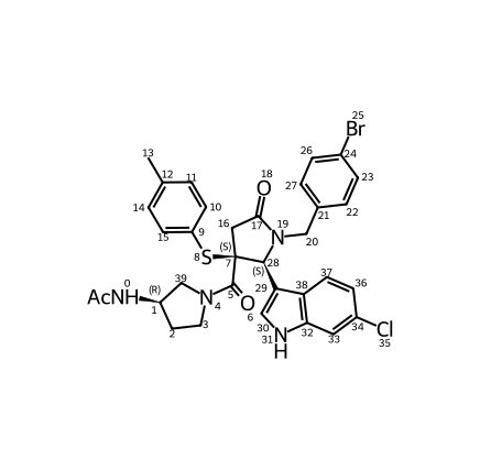 CC(=O)N[C@@H]1CCN(C(=O)[C@]2(Sc3ccc(C)cc3)CC(=O)N(Cc3ccc(Br)cc3)[C@H]2c2c[nH]c3cc(Cl)ccc23)C1